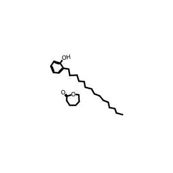 CCCCCCCCCCCCCCCc1ccccc1O.O=C1CCCCCO1